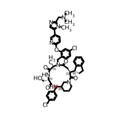 C[C@H]1C(=O)N[C@@H](CO)C(=O)N[C@@]2(Cc3ccc(Cl)cc3)CCCN(C2)C(=O)[C@H]([C@H]2CCc3ccccc32)CC(=O)N1Cc1ccc(Cl)cc1Oc1ccc(-c2cnc(CN(C)C)n2C)cn1